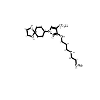 CCOC(=O)c1cn(C2CCC3(CC2)OCCO3)nc1OCCCOCCOC